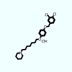 Cl.Clc1ccc(COc2ccc(OCCCCCCCN3CCCCC3)cc2)cc1Cl